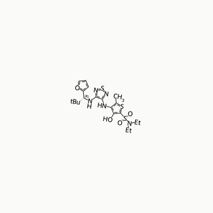 CCN(CC)S(=O)(=O)c1sc(C)c(Nc2nsnc2N[C@@H](c2ccco2)C(C)(C)C)c1O